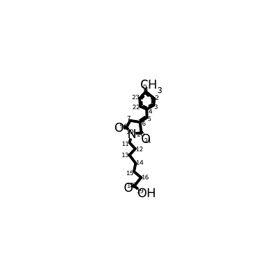 Cc1ccc(/C=C2\CC(=O)N(CCCCCCC(=O)O)C2=O)cc1